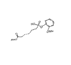 COC(=O)CCCCCP(=O)(O)Oc1ccccc1OC